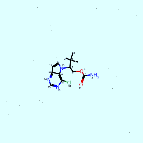 CC(C)(C)C(COC(N)=O)n1ccc2ncnc(Cl)c21